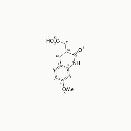 COc1ccc2c(c1)NC(=O)C(CC(=O)O)C2